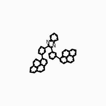 c1cc(-c2nc3ccccc3nc2-c2cccc(-c3ccc4ccc5cccc6ccc3c4c56)c2)cc(-c2ccc3ccc4cccc5ccc2c3c45)c1